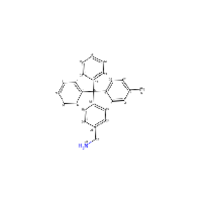 CCc1ccc(C(C2=CC=CCC2)(c2ccccc2)c2ccc(CN)cc2)cc1